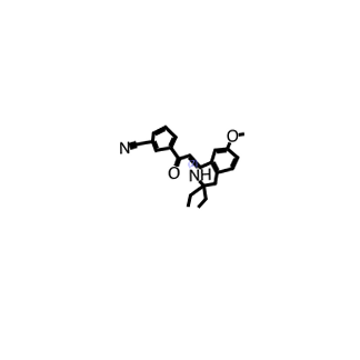 CCC1(CC)Cc2ccc(OC)cc2/C(=C/C(=O)c2cccc(C#N)c2)N1